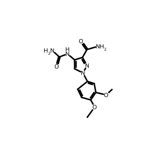 COc1ccc(-n2cc(NC(N)=O)c(C(N)=O)n2)cc1OC